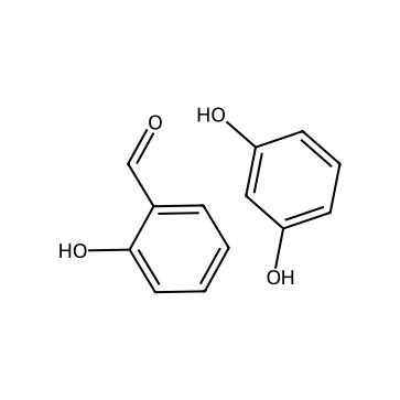 O=Cc1ccccc1O.Oc1cccc(O)c1